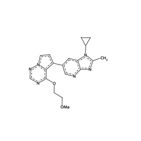 COCCOc1ncnn2ccc(-c3cnc4nc(C)n(C5CC5)c4c3)c12